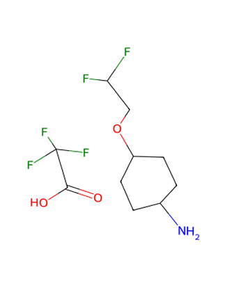 NC1CCC(OCC(F)F)CC1.O=C(O)C(F)(F)F